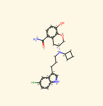 NC(=O)c1ccc(O)c2c1C[C@@H](N(CCCc1c[nH]c3ccc(F)cc13)C1CCC1)CO2